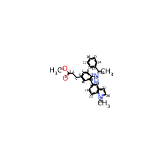 COC(=O)CCc1ccc(NC(C)c2ccccc2)c(-c2ccc3c(ccn3C)c2)c1